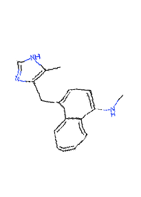 CNc1ccc(Cc2nc[nH]c2C)c2ccccc12